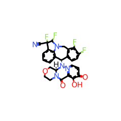 N#CC1(F)c2cccc3c2N(Cc2c(ccc(F)c2F)[C@@H]3N2[C@@H]3COCCN3C(=O)c3c(O)c(=O)ccn32)C1F